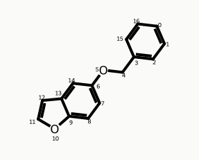 c1ccc(COc2ccc3occc3c2)cc1